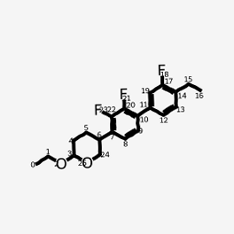 CCOC1CCC(c2ccc(-c3ccc(CC)c(F)c3)c(F)c2F)CO1